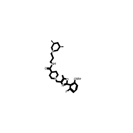 COc1cccc(F)c1-c1nc(CN2CCC(C(=O)NCCCN3C[C@H](C)C[C@H](C)C3)CC2)c(C)o1